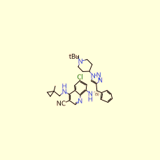 CC1(CNc2c(C#N)cnc3c(N[C@@H](c4ccccc4)c4cn(C5CCN(C(C)(C)C)CC5)nn4)cc(Cl)cc23)CC1